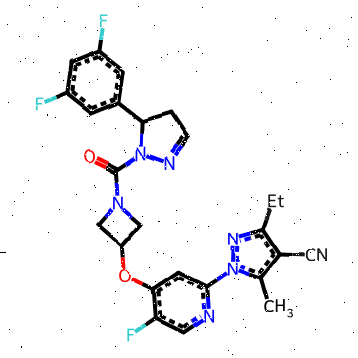 CCc1nn(-c2cc(OC3CN(C(=O)N4N=CCC4c4cc(F)cc(F)c4)C3)c(F)cn2)c(C)c1C#N